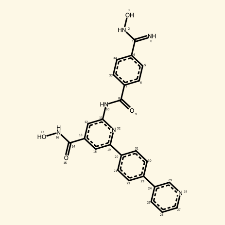 N=C(NO)c1ccc(C(=O)Nc2cc(C(=O)NO)cc(-c3ccc(-c4cccnc4)cc3)n2)cc1